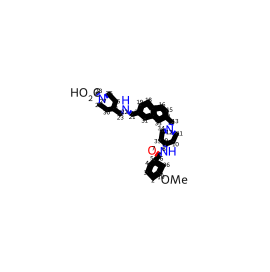 COc1cccc(C(=O)NC2CCN(Cc3ccc4ccc(CNCC5CCN(C(=O)O)CC5)cc4c3)CC2)c1